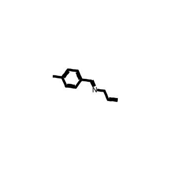 C=CC/N=C/c1ccc(C)cc1